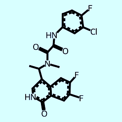 CC(c1c[nH]c(=O)c2cc(F)c(F)cc12)N(C)C(=O)C(=O)Nc1ccc(F)c(Cl)c1